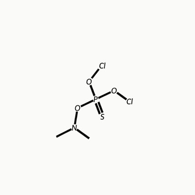 CN(C)OP(=S)(OCl)OCl